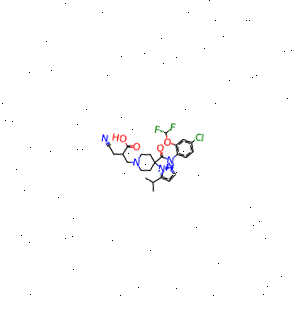 CC(C)c1ccnn1C1(C(=O)Nc2ccc(Cl)cc2OC(F)F)CCN(CC(CC#N)C(=O)O)CC1